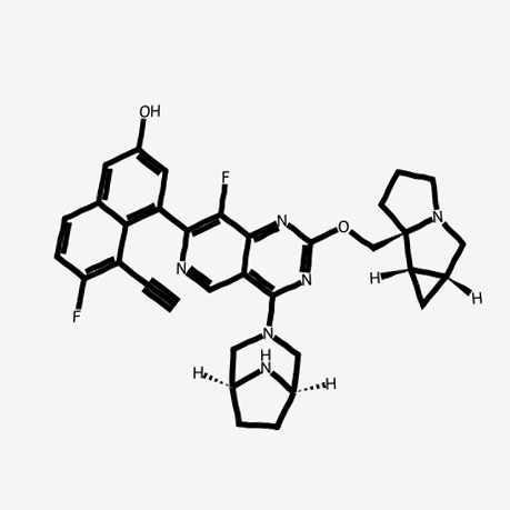 C#Cc1c(F)ccc2cc(O)cc(-c3ncc4c(N5C[C@H]6CC[C@@H](C5)N6)nc(OC[C@@]56CCCN5C[C@@H]5C[C@@H]56)nc4c3F)c12